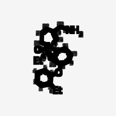 CCc1ccccc1Oc1cccc([N+]2(S(=O)(=O)CC)C=C(CN)C=CC2)c1